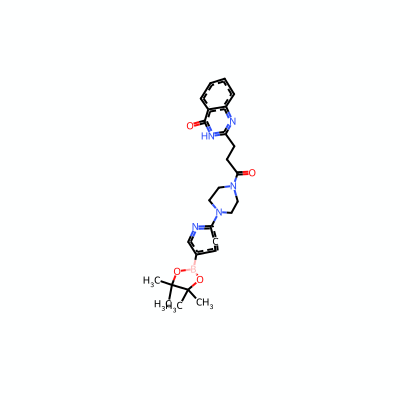 CC1(C)OB(c2ccc(N3CCN(C(=O)CCc4nc5ccccc5c(=O)[nH]4)CC3)nc2)OC1(C)C